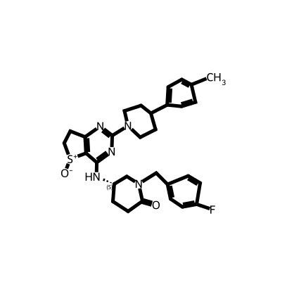 Cc1ccc(C2CCN(c3nc4c(c(N[C@H]5CCC(=O)N(Cc6ccc(F)cc6)C5)n3)[S+]([O-])CC4)CC2)cc1